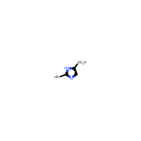 CCCc1ncc(S(=O)(=O)O)[nH]1